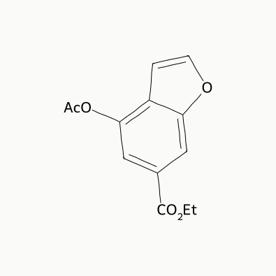 CCOC(=O)c1cc(OC(C)=O)c2ccoc2c1